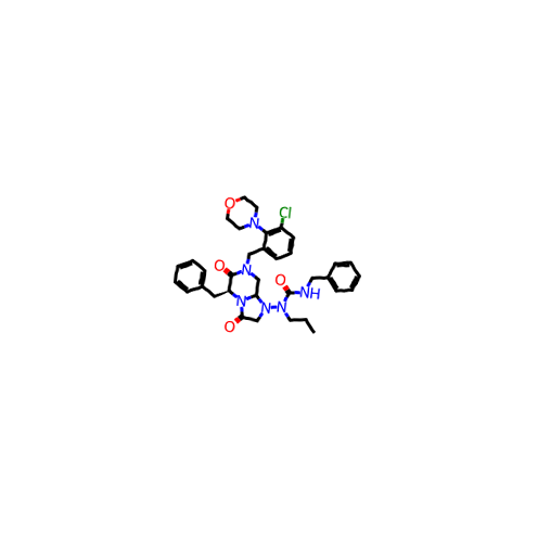 CCCN(C(=O)NCc1ccccc1)N1CC(=O)N2C1CN(Cc1cccc(Cl)c1N1CCOCC1)C(=O)[C@@H]2Cc1ccccc1